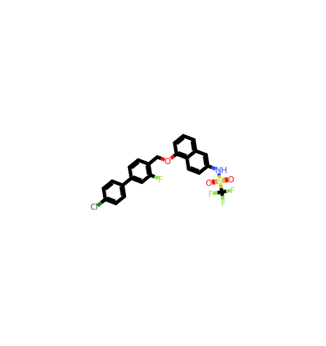 O=S(=O)(Nc1ccc2c(OCc3ccc(-c4ccc(Cl)cc4)cc3F)cccc2c1)C(F)(F)F